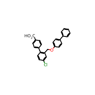 O=C(O)c1ccc(-c2ccc(Cl)cc2COc2ccc(-c3[c]cccc3)cc2)cc1